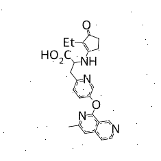 CCC1=C(NC(Cc2ccc(Oc3nc(C)cc4ccncc34)cn2)C(=O)O)CCC1=O